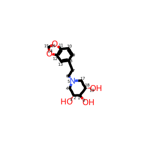 OC1[C@H](O)CN(CCc2ccc3c(c2)OCO3)C[C@@H]1O